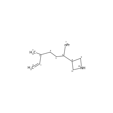 C=CC(C)CCC(CCC)C1CNC1